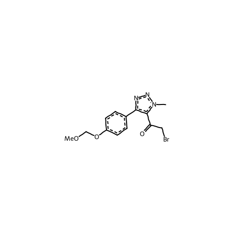 COCOc1ccc(-c2nnn(C)c2C(=O)CBr)cc1